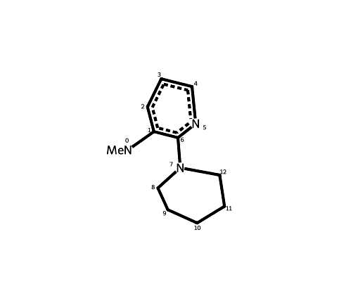 CNc1cccnc1N1CCCCC1